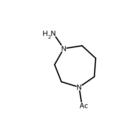 CC(=O)N1CCCN(N)CC1